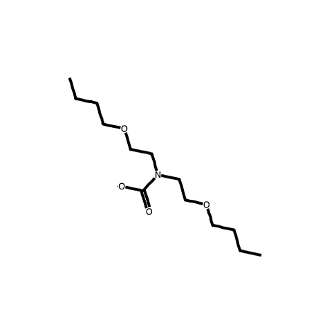 CCCCOCCN(CCOCCCC)C([O])=O